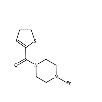 CC(C)N1CCN(C(=O)C2=CCCS2)CC1